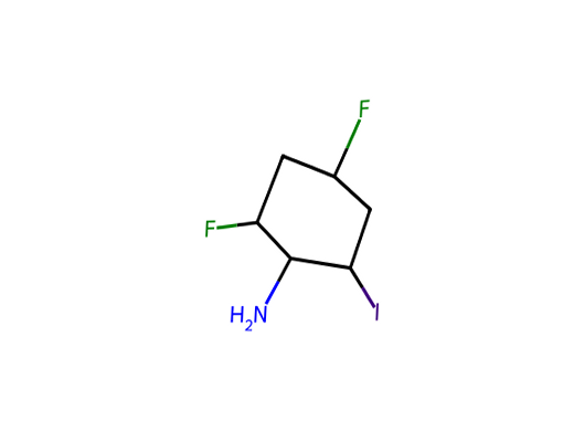 NC1C(F)CC(F)CC1I